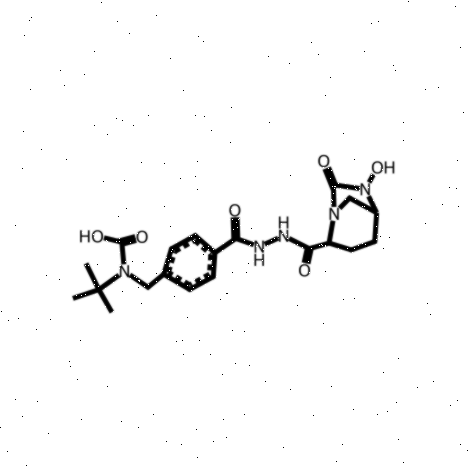 CC(C)(C)N(Cc1ccc(C(=O)NNC(=O)C2CCC3CN2C(=O)N3O)cc1)C(=O)O